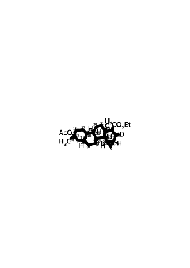 CCOC(=O)C1C(=O)[C@H]2C[C@H]2[C@H]2[C@@H]3CC[C@@H]4C[C@](C)(OC(C)=O)CC[C@@H]4[C@H]3CC[C@]12C